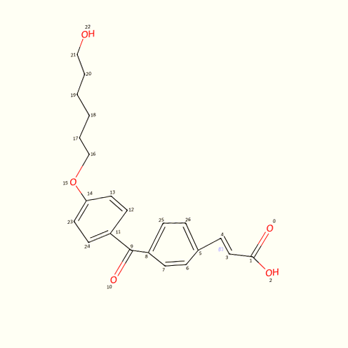 O=C(O)/C=C/c1ccc(C(=O)c2ccc(OCCCCCCO)cc2)cc1